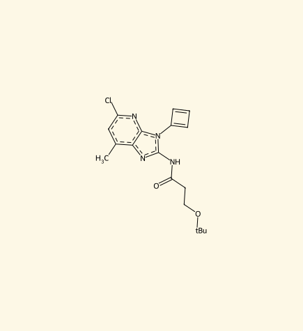 Cc1cc(Cl)nc2c1nc(NC(=O)CCOC(C)(C)C)n2C1=CC=C1